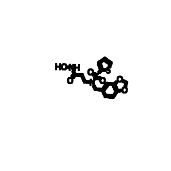 O=C(CCN(Cc1ccc2c(c1)OCO2)S(=O)(=O)c1cccs1)NO